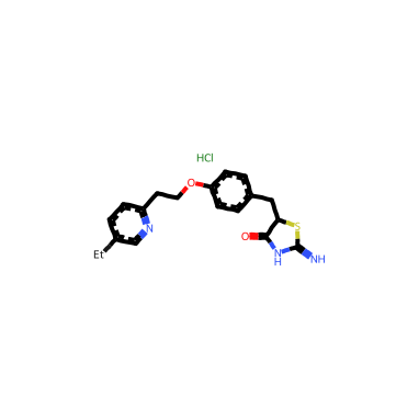 CCc1ccc(CCOc2ccc(CC3SC(=N)NC3=O)cc2)nc1.Cl